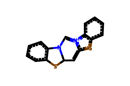 C1=c2sc3ccccc3[n+]2=CN2c3ccccc3SC12